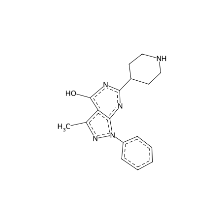 Cc1nn(-c2ccccc2)c2nc(C3CCNCC3)nc(O)c12